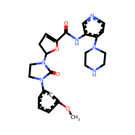 COc1cccc(N2CCN(C3CC=C(C(=O)Nc4cnccc4N4CCNCC4)O3)C2=O)c1